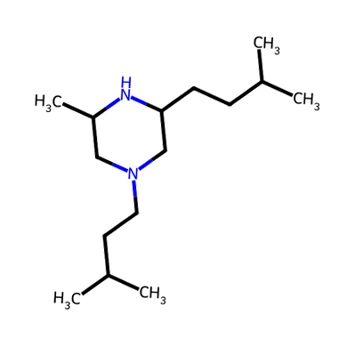 CC(C)CCC1CN(CCC(C)C)CC(C)N1